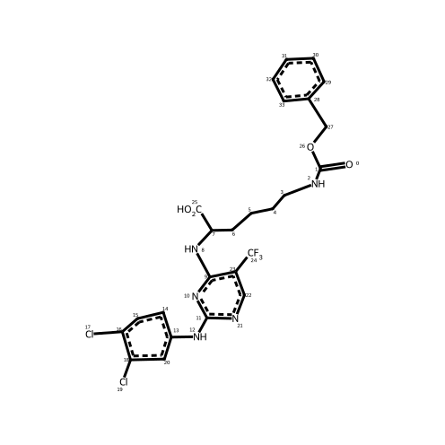 O=C(NCCCCC(Nc1nc(Nc2ccc(Cl)c(Cl)c2)ncc1C(F)(F)F)C(=O)O)OCc1ccccc1